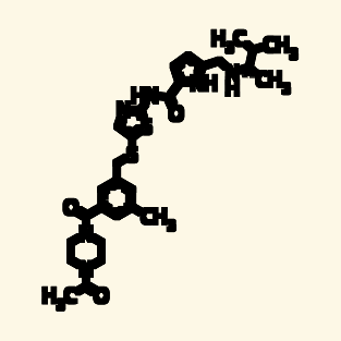 CC(=O)N1CCN(C(=O)c2cc(C)cc(CSc3cnc(NC(=O)c4ccc(CN[C@H](C)C(C)C)[nH]4)s3)c2)CC1